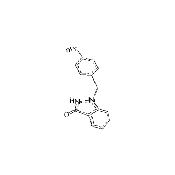 CCCc1ccc(Cn2[nH]c(=O)c3ccccc32)cc1